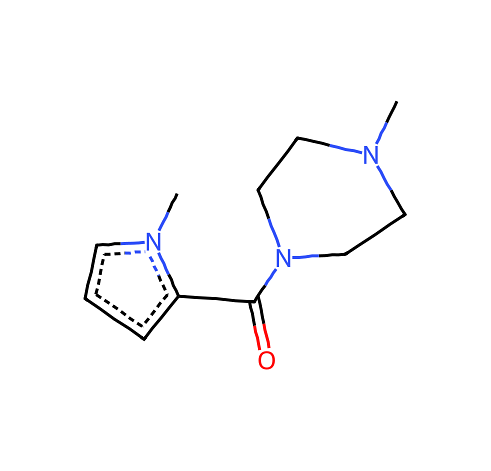 CN1CCN(C(=O)c2cccn2C)CC1